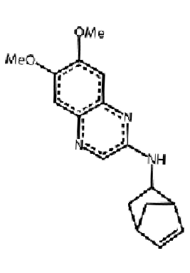 COc1cc2ncc(NC3CC4C=CC3C4)nc2cc1OC